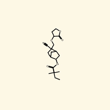 CCC(C)(C)C(=O)OC1CC2CC1CC2(C#N)COC1CCOC1=O